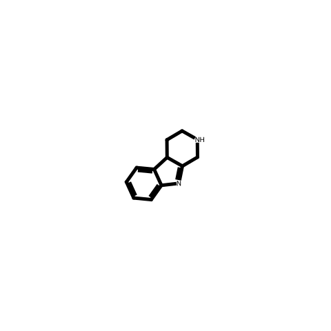 c1ccc2c(c1)N=C1CNCCC12